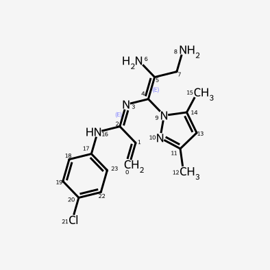 C=C/C(=N\C(=C(/N)CN)n1nc(C)cc1C)Nc1ccc(Cl)cc1